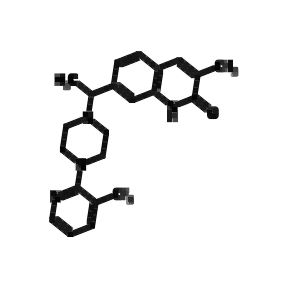 Cc1cc2ccc(C(C)N3CCN(c4ncccc4C(F)(F)F)CC3)cc2[nH]c1=O